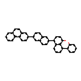 c1ccc2c(c1)Oc1ccc(-c3ccc4cc(-c5ccc6c(ccc7ccccc76)c5)ccc4c3)c3cccc-2c13